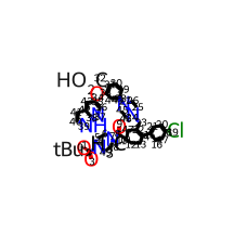 CC(C)(C)OC(=O)N1CCN(C(=O)[C@]2(C)CCC(c3ccc(Cl)cc3)=C(CN3CCN(c4ccc(C(=O)O)c(Oc5cnc6[nH]ccc6c5)c4)CC3)C2)CC1